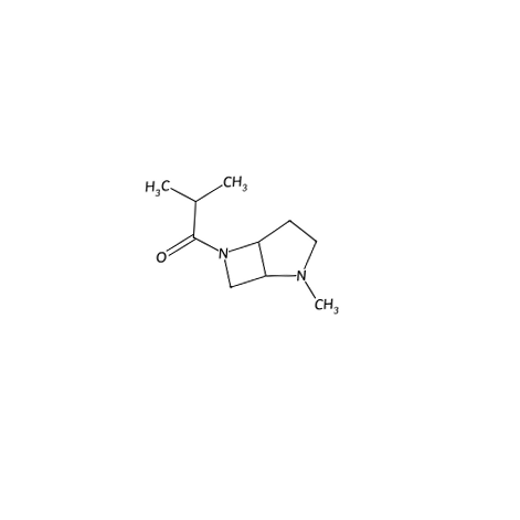 CC(C)C(=O)N1CC2C1CCN2C